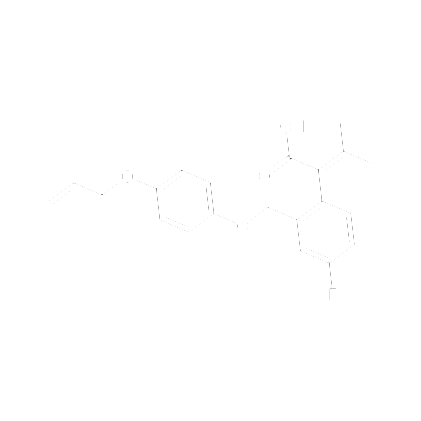 C=CCOc1ccc(OCc2cc(F)ccc2C(C(=O)O)=C(C)C)cc1